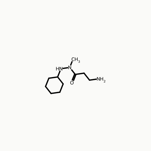 CN(NC1CCCCC1)C(=O)CCN